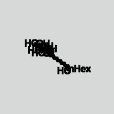 CCCCCCC(O)CCCCCCCCCCC(=O)OC(O)[C@@H](O)[C@@H](O)[C@H](O)[C@H](O)CO